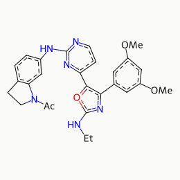 CCNc1nc(-c2cc(OC)cc(OC)c2)c(-c2ccnc(Nc3ccc4c(c3)N(C(C)=O)CC4)n2)o1